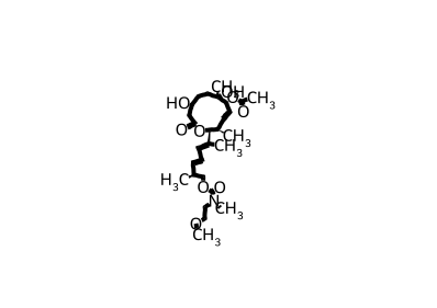 COCCN(C)C(=O)OC[C@@H](C)/C=C/C=C(\C)[C@H]1OC(=O)C[C@@H](O)CC[C@](C)(O)[C@@H](OC(C)=O)/C=C/[C@@H]1C